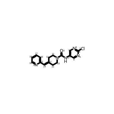 O=C(Nc1cnc(Cl)nc1)N1CCC(=Cc2ccccn2)CC1